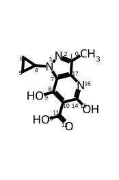 Cc1nn(C2CC2)c2c(O)c(C(=O)O)c(O)nc12